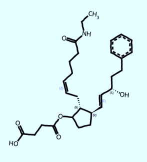 CCNC(=O)CCC/C=C\C[C@H]1C(OC(=O)CCC(=O)O)CC[C@@H]1/C=C/[C@@H](O)CCc1ccccc1